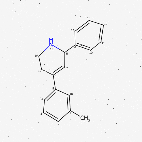 Cc1cccc(C2=CC(c3ccccc3)NCC2)c1